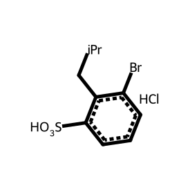 CC(C)Cc1c(Br)cccc1S(=O)(=O)O.Cl